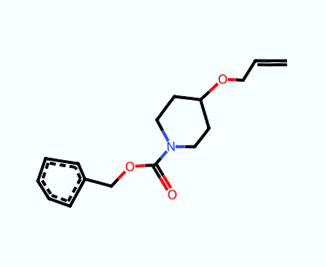 C=CCOC1CCN(C(=O)OCc2ccccc2)CC1